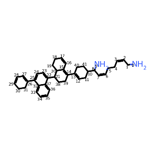 NC/C=C\CC/C=C\C(N)C1CC=C(C2=C3C=CCCC3C(c3ccc(C4=CC=CCC4)c4ccccc34)CC2)CC1